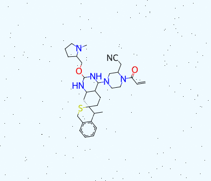 C=CC(=O)N1CCN(C2NC(OCC3CCCN3C)NC3C[C@@]4(CCC32)SCc2ccccc2C4C)CC1CC#N